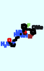 COc1ccc(Br)cc1CCc1c(F)cccc1C(=O)NC(=N)NCCCCN1CCC[C@H]1C(N)=O